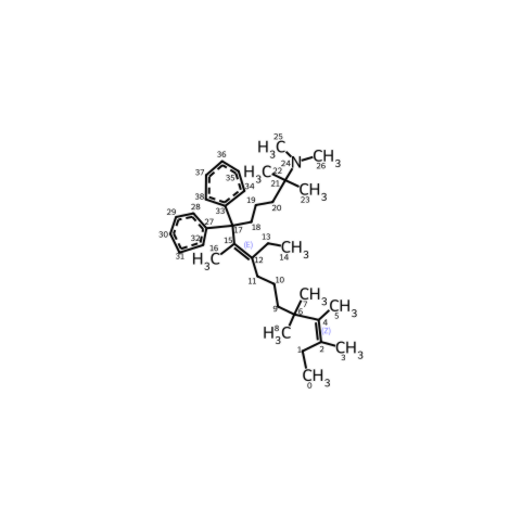 CC/C(C)=C(/C)C(C)(C)CCC/C(CC)=C(\C)C(CCCC(C)(C)N(C)C)(c1ccccc1)c1ccccc1